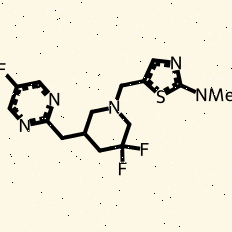 CNc1ncc(CN2CC(Cc3ncc(F)cn3)CC(F)(F)C2)s1